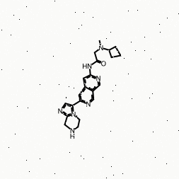 CN(CC(=O)Nc1cc2cc(-c3cnc4n3CCNC4)ncc2cn1)C1CCC1